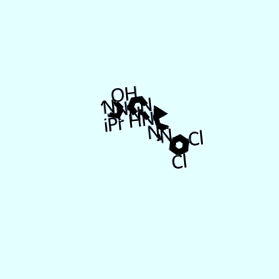 CC(C)[C@H]1CN(C)C(O)N1c1ccnc(NC2(c3cn(-c4cc(Cl)cc(Cl)c4)cn3)CC2)n1